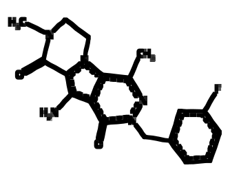 Cc1nn(Cc2cccc(F)c2)c(=O)c2c(N)c3n(c12)CCN(C)C3=O